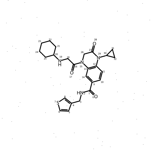 O=C(NCc1ccsc1)c1ccc2c(c1)N(C(=O)CNC1CCCCC1)CC(=O)N2C1CC1